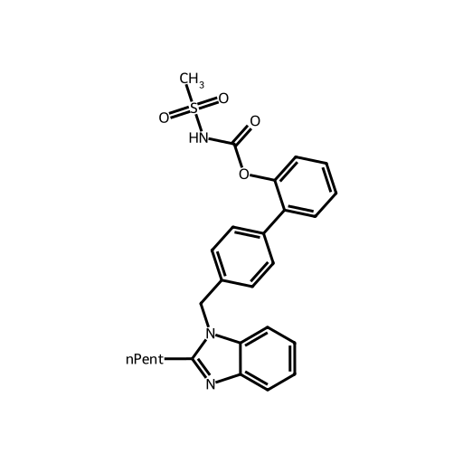 CCCCCc1nc2ccccc2n1Cc1ccc(-c2ccccc2OC(=O)NS(C)(=O)=O)cc1